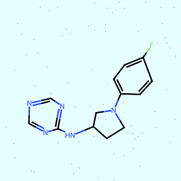 Fc1ccc(N2CCC(Nc3ncncn3)C2)cc1